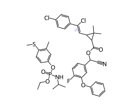 CC1(C)C(/C=C(\Cl)c2ccc(Cl)cc2)C1C(=O)OC(C#N)c1ccc(F)c(Oc2ccccc2)c1.CCOP(=O)(NC(C)C)Oc1ccc(SC)c(C)c1